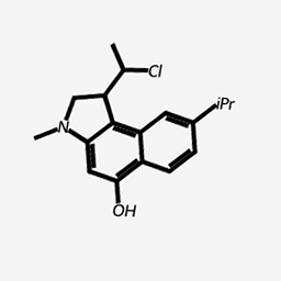 CC(C)c1ccc2c(O)cc3c(c2c1)C(C(C)Cl)CN3C